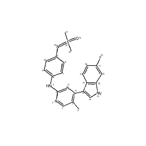 Cc1cnc(Nc2ccc(N=S(C)(C)=O)cc2)nc1-c1c[nH]c2cc(F)ccc12